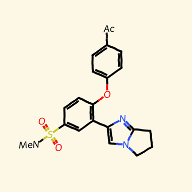 CNS(=O)(=O)c1ccc(Oc2ccc(C(C)=O)cc2)c(-c2cn3c(n2)CCC3)c1